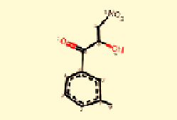 Cc1cccc(C(=O)C(O)C[N+](=O)[O-])c1